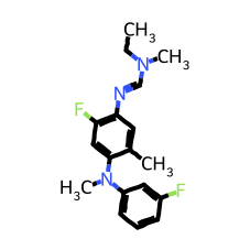 CCN(C)C=Nc1cc(C)c(N(C)c2cccc(F)c2)cc1F